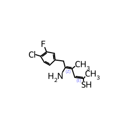 CC(/C=C(\C)S)=C(/N)Cc1ccc(Cl)c(F)c1